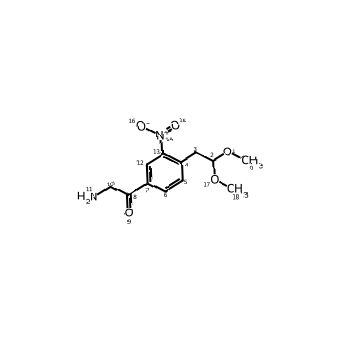 COC(Cc1ccc(C(=O)CN)cc1[N+](=O)[O-])OC